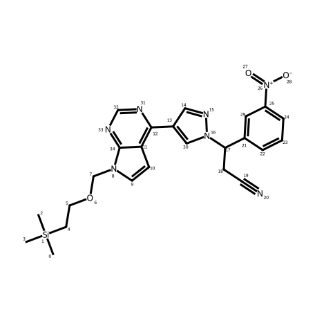 C[Si](C)(C)CCOCn1ccc2c(-c3cnn(C(CC#N)c4cccc([N+](=O)[O-])c4)c3)ncnc21